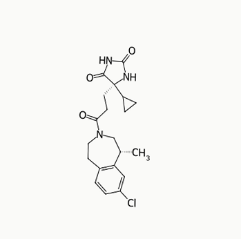 C[C@H]1CN(C(=O)CC[C@@]2(C3CC3)NC(=O)NC2=O)CCc2ccc(Cl)cc21